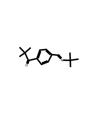 CC(C)(C)/N=C/c1ccc(C(=O)C(C)(C)C)cc1